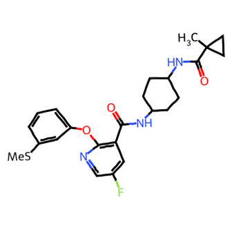 CSc1cccc(Oc2ncc(F)cc2C(=O)NC2CCC(NC(=O)C3(C)CC3)CC2)c1